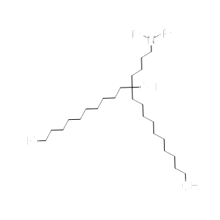 CC(C)N(CCCCC(O)(CCCCCCCCCCO)CCCCCCCCCCO)C(C)C